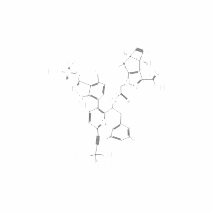 Cn1nc(NS(C)(=O)=O)c2c(Cl)ccc(-c3ccc(C#CC(C)(C)O)nc3C(Cc3cc(F)cc(F)c3)NC(=O)Cn3nc(C(=O)O)c4c3C(F)(F)[C@@H]3C#C[C@H]43)c21